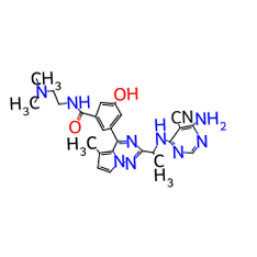 Cc1ccn2nc([C@H](C)Nc3ncnc(N)c3C#N)nc(-c3cc(O)cc(C(=O)NCCN(C)C)c3)c12